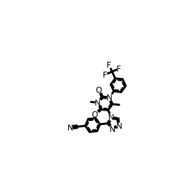 Cc1c(-n2cnnc2-c2ccc(C#N)cc2)c(=O)n(C)c(=O)n1-c1cccc(C(F)(F)F)c1